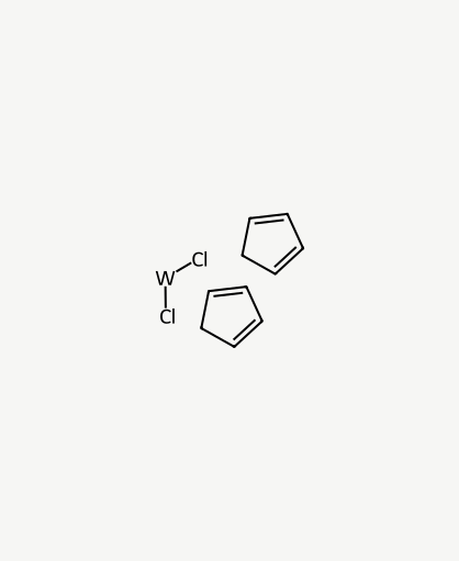 C1=CCC=C1.C1=CCC=C1.[Cl][W][Cl]